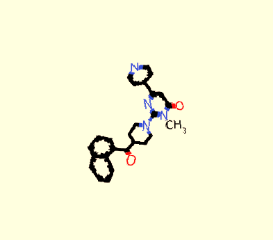 Cn1c(N2CCC(C(=O)c3cccc4ccccc34)CC2)nc(-c2ccncc2)cc1=O